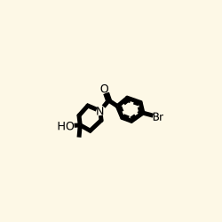 CC1(O)CCN(C(=O)c2ccc(Br)cc2)CC1